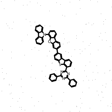 c1ccc(-c2nc(-c3ccccc3)nc(-c3cccc4c3sc3ccc(-c5ccc6c(c5)oc5c(-n7c8ccccc8c8ccccc87)cccc56)cc34)n2)cc1